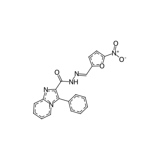 O=C(NN=Cc1ccc([N+](=O)[O-])o1)c1nc2ccccn2c1-c1ccccc1